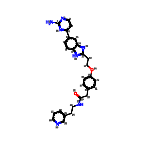 Nc1nccc(-c2ccc3[nH]c(CCOc4ccc(CC(=O)NCCc5cccnc5)cc4)nc3c2)n1